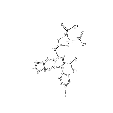 CC(=O)N1C[C@H](Oc2nc(C(C)C)c(-c3ccc(F)cc3)c3cc4cn[nH]c4cc23)C[C@H]1C(=O)O